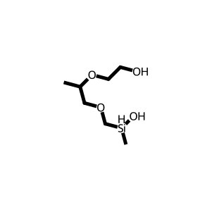 CC(COC[SiH](C)O)OCCO